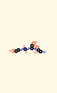 CNc1ccc2c(O)c(N=Nc3ccc(N=Nc4cc(OC)c(N=Nc5ccc6cc(S(=O)(=O)O)ccc6c5)cc4OC)c4ccc(S(=O)(=O)O)cc34)c(S(=O)(=O)O)cc2c1